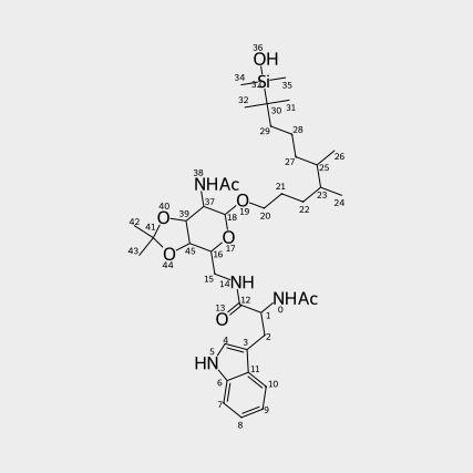 CC(=O)NC(Cc1c[nH]c2ccccc12)C(=O)NCC1OC(OCCCC(C)C(C)CCCC(C)(C)[Si](C)(C)O)C(NC(C)=O)C2OC(C)(C)OC12